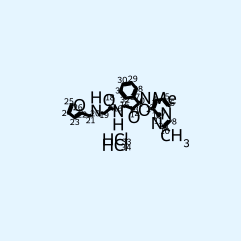 CNC(Oc1cccn2cc(C)nc12)(C(=O)CNC(=O)CNCc1ccco1)c1ccccc1.Cl.Cl